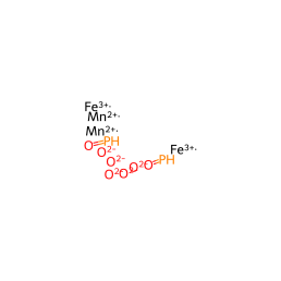 O=P.O=P.[Fe+3].[Fe+3].[Mn+2].[Mn+2].[O-2].[O-2].[O-2].[O-2].[O-2]